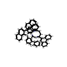 C1=C(c2cccc3ccccc23)/N=C(c2c(-n3c4cc5ccccc5cc4c4ccc5ccccc5c43)ccc3oc4ccccc4c23)\N=C(\c2cc3ccccc3c3ccccc23)CC\1